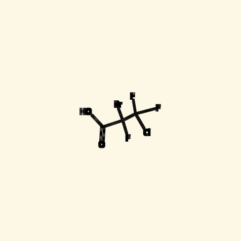 O=C(O)C(F)(Br)C(F)(F)Cl